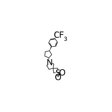 O=S1(=O)CC2(CCN(C3CC[C@@H](c4ccc(C(F)(F)F)cc4)C3)C2)C1